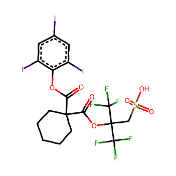 O=C(Oc1c(I)cc(I)cc1I)C1(C(=O)OC(CS(=O)(=O)O)(C(F)(F)F)C(F)(F)F)CCCCC1